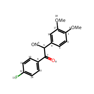 COc1ccc(C(N=O)C(=O)c2ccc(F)cc2)cc1OC